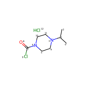 CC(C)N1CCN(C(=O)Cl)CC1.Cl